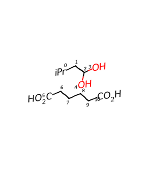 CC(C)CC(O)O.O=C(O)CCCCC(=O)O